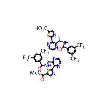 COC(=O)c1cnc(-c2nccnc2[C@@H](C)NC(=O)c2cc(C(F)(F)F)cc(C(F)(F)F)c2)s1.C[C@@H](NC(=O)c1cc(C(F)(F)F)cc(C(F)(F)F)c1)c1nccnc1-c1ncc(C(=O)O)s1